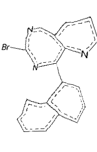 Brc1nc(-c2cccc3ccccc23)c2ncccc2n1